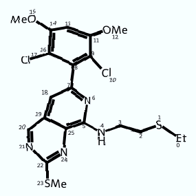 CCSCCNc1nc(-c2c(Cl)c(OC)cc(OC)c2Cl)cc2cnc(SC)nc12